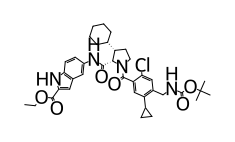 CCOC(=O)c1cc2cc(NC(=O)[C@@H]3[C@H](C4CCCCC4)CCN3C(=O)c3cc(C4CC4)c(CNC(=O)OC(C)(C)C)cc3Cl)ccc2[nH]1